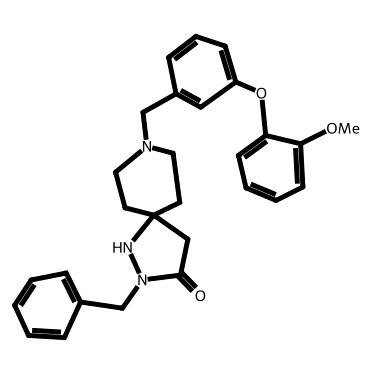 COc1ccccc1Oc1cccc(CN2CCC3(CC2)CC(=O)N(Cc2ccccc2)N3)c1